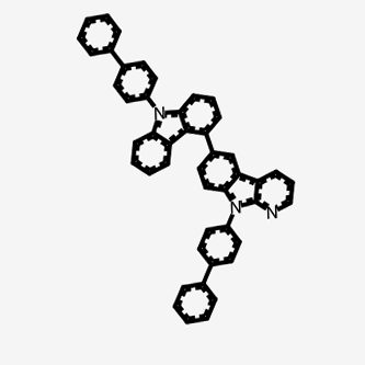 c1ccc(-c2ccc(-n3c4ccccc4c4c(-c5ccc6c(c5)c5cccnc5n6-c5ccc(-c6ccccc6)cc5)cccc43)cc2)cc1